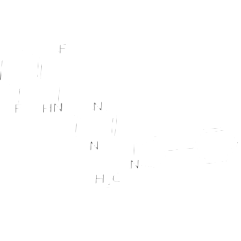 Cn1cc(-c2ccccc2)cc1-c1cnc(NCc2c(F)cccc2F)cn1